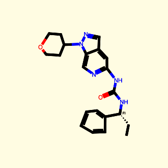 CC[C@@H](NC(=O)Nc1cc2cnn(C3CCOCC3)c2cn1)c1ccccc1